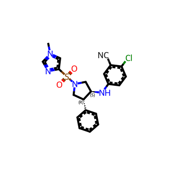 Cn1cnc(S(=O)(=O)N2C[C@@H](Nc3ccc(Cl)c(C#N)c3)[C@H](c3ccccc3)C2)c1